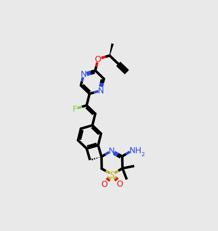 C#C[C@H](C)Oc1cnc(/C(F)=C/c2ccc3c(c2)[C@]2(C3)CS(=O)(=O)C(C)(C)C(N)=N2)cn1